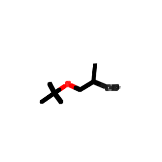 CC([C]=O)COC(C)(C)C